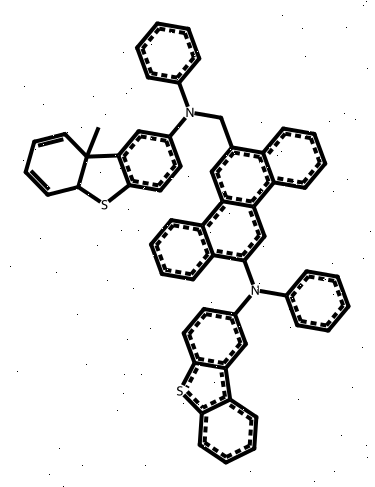 CC12C=CC=CC1Sc1ccc(N(Cc3cc4c5ccccc5c(N(c5ccccc5)c5ccc6sc7ccccc7c6c5)cc4c4ccccc34)c3ccccc3)cc12